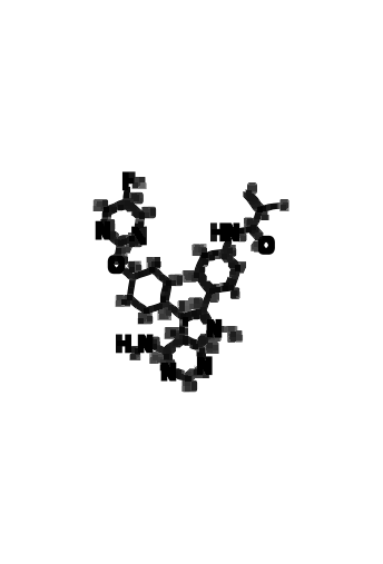 C=C(C)C(=O)Nc1ccc(-c2c(C3=CCC(Oc4ncc(F)cn4)CC3)c3c(N)ncnc3n2C)cc1